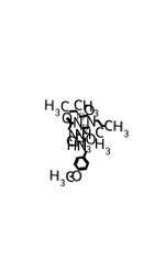 CCC(C)[C@H]1C(=O)N(CC(C)C)C[C@H]2N1C(=O)CN(C)N2C(=O)NCc1ccc(OC)cc1